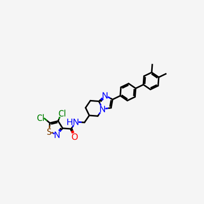 Cc1ccc(-c2ccc(-c3cn4c(n3)CCC(CNC(=O)c3nsc(Cl)c3Cl)C4)cc2)cc1C